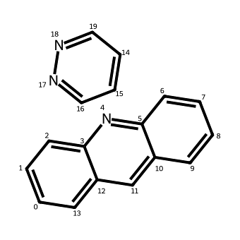 c1ccc2nc3ccccc3cc2c1.c1ccnnc1